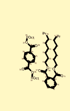 CC(C)CCCCCCOC(=O)c1ccccc1C(=O)OCCCCCCC(C)C.CCCCCCCCOC(=O)c1ccc(C(=O)OCCCCCCCC)cc1